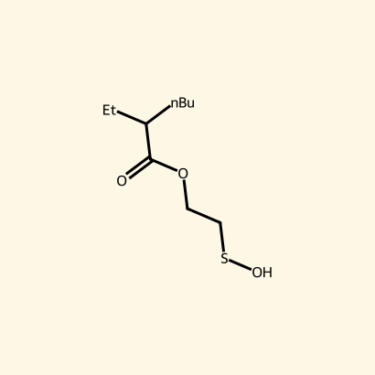 CCCCC(CC)C(=O)OCCSO